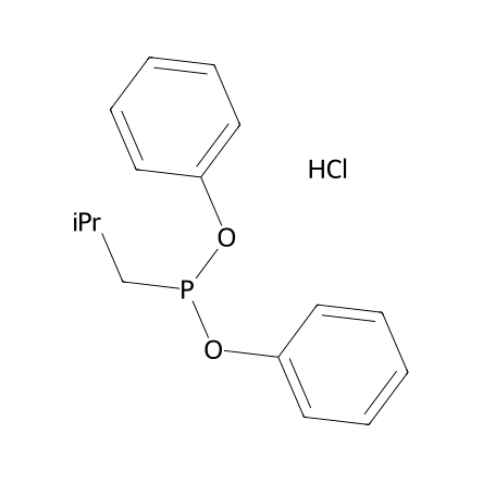 CC(C)CP(Oc1ccccc1)Oc1ccccc1.Cl